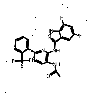 CC(=O)Nc1cnc(-c2ccccc2C(F)(F)F)nc1Nc1n[nH]c2c(F)cc(F)cc12